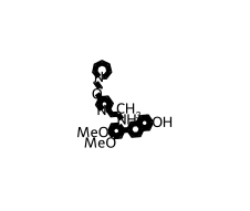 COc1cc(NC(C)Cc2ccc(OCCN3CCCCCC3)cn2)c(C2CCc3cc(O)ccc3C2)cc1OC